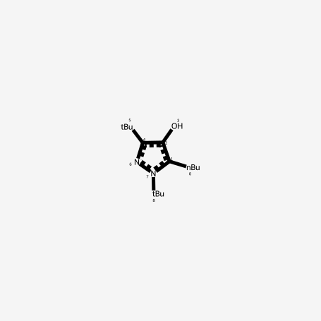 CCCCc1c(O)c(C(C)(C)C)nn1C(C)(C)C